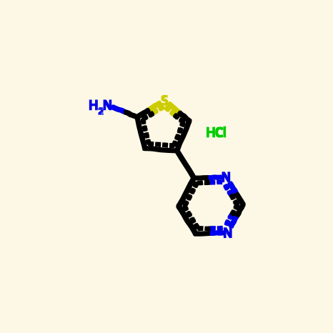 Cl.Nc1cc(-c2ccncn2)cs1